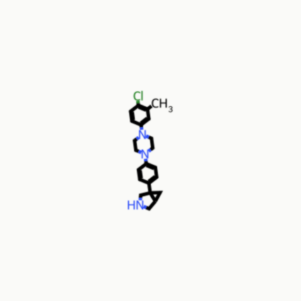 Cc1cc(N2CCN(c3ccc(C45CNCC4C5)cc3)CC2)ccc1Cl